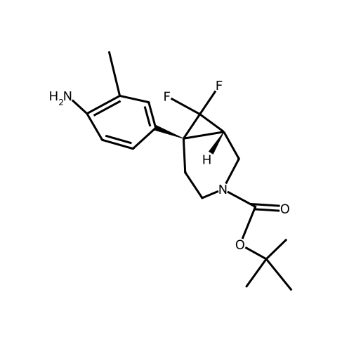 Cc1cc([C@]23CCN(C(=O)OC(C)(C)C)C[C@H]2C3(F)F)ccc1N